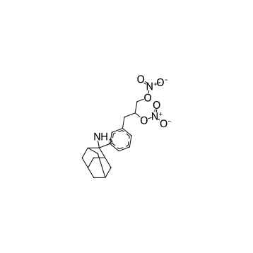 NC1(c2cccc(CC(CO[N+](=O)[O-])O[N+](=O)[O-])c2)C2CC3CC(C2)CC1C3